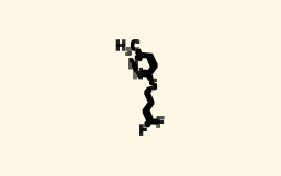 Cc1ccc(SCCC=C(F)F)nn1